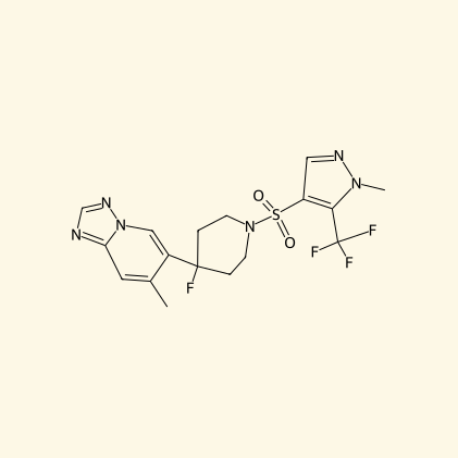 Cc1cc2ncnn2cc1C1(F)CCN(S(=O)(=O)c2cnn(C)c2C(F)(F)F)CC1